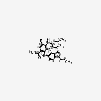 CCC[C@@H](Nc1nc(Nc2ccc3c(cnn3CCC)c2)c(C(N)=O)cc1F)[C@@H](N)CC